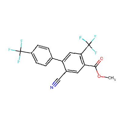 COC(=O)c1cc(C#N)c(-c2ccc(C(F)(F)F)cc2)cc1C(F)(F)F